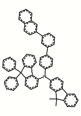 CC1(C)c2ccccc2-c2ccc(N(c3ccc(-c4cccc(-c5ccc6ccccc6c5)c4)cc3)c3cccc4c3-c3ccccc3C4(c3ccccc3)c3ccccc3)cc21